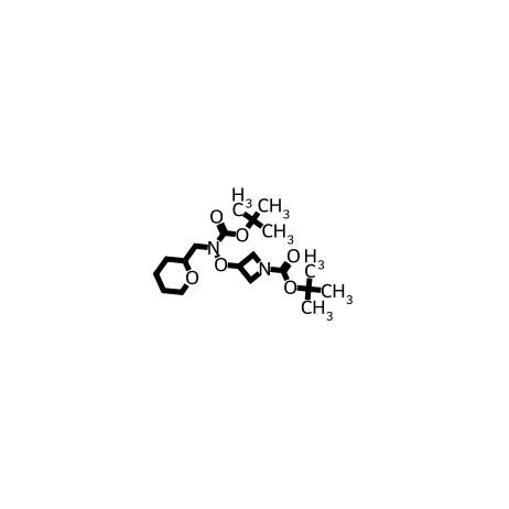 CC(C)(C)OC(=O)N1CC(ON(CC2CCCCO2)C(=O)OC(C)(C)C)C1